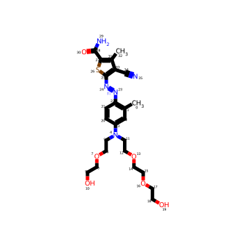 Cc1cc(N(CCOCCO)CCOCCOCCO)ccc1/N=N/c1sc(C(N)=O)c(C)c1C#N